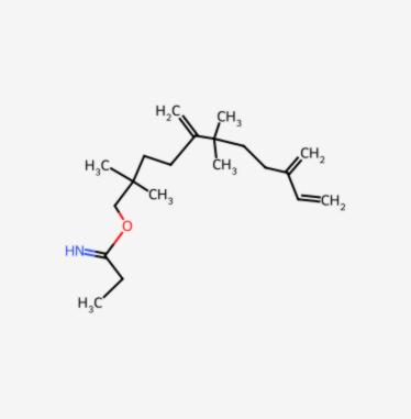 C=CC(=C)CCC(C)(C)C(=C)CCC(C)(C)COC(=N)CC